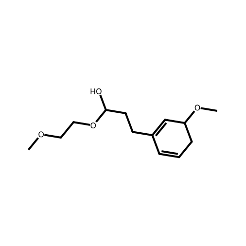 COCCOC(O)CCC1=CC(OC)CC=C1